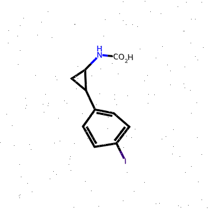 O=C(O)NC1CC1c1ccc(I)cc1